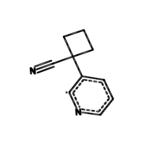 N#CC1(c2[c]nccc2)CCC1